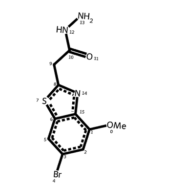 COc1cc(Br)cc2sc(CC(=O)NN)nc12